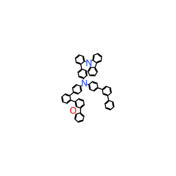 c1ccc(-c2cccc(-c3ccc(N(c4ccc(-c5ccccc5-c5cccc6c5oc5ccccc56)cc4)c4ccc(-c5ccccc5-n5c6ccccc6c6ccccc65)cc4)cc3)c2)cc1